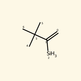 C=C([SiH3])C(C)(C)C